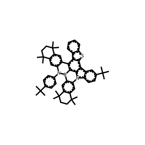 CC(C)(C)c1ccc(N2B3c4cc5c(cc4-n4c6ccc(C(C)(C)C)cc6c6c7sc8ccccc8c7c(c3c64)-c3cc4c(cc32)C(C)(C)CCC4(C)C)C(C)(C)CCC5(C)C)cc1